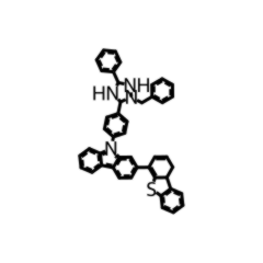 C1=CC(c2ccc3c4ccccc4n(-c4ccc(C5NC(c6ccccc6)NN5Cc5ccccc5)cc4)c3c2)=C2Sc3ccccc3C2C1